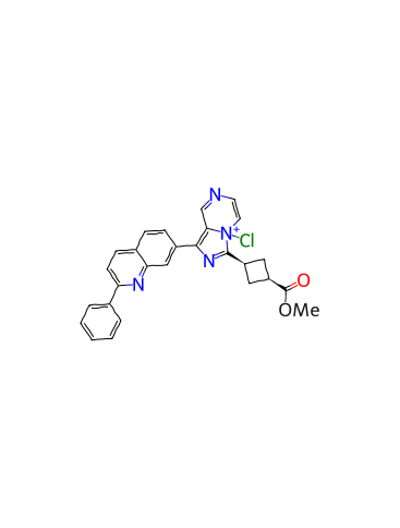 COC(=O)[C@H]1C[C@@H](C2=NC(c3ccc4ccc(-c5ccccc5)nc4c3)=C3C=NC=C[N+]32Cl)C1